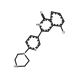 O=c1[nH]c(-c2ccc(N3CCNCC3)nc2)cc2c(Cl)cccc12